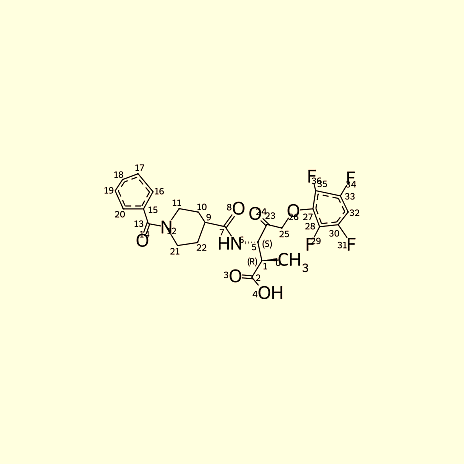 C[C@@H](C(=O)O)[C@H](NC(=O)C1CCN(C(=O)c2ccccc2)CC1)C(=O)COc1c(F)c(F)cc(F)c1F